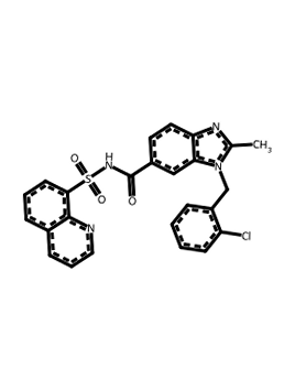 Cc1nc2ccc(C(=O)NS(=O)(=O)c3cccc4cccnc34)cc2n1Cc1ccccc1Cl